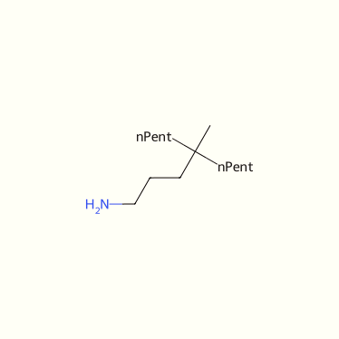 CCCCCC(C)(CCCN)CCCCC